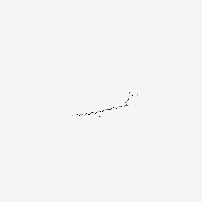 CCCCCCCCCCCCCCCCCC(CCCCCCCCC(C)CCCN(C)C)OC(=O)O